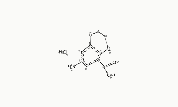 Cl.Nc1cc2c(c(C(=O)O)c1)OCCO2